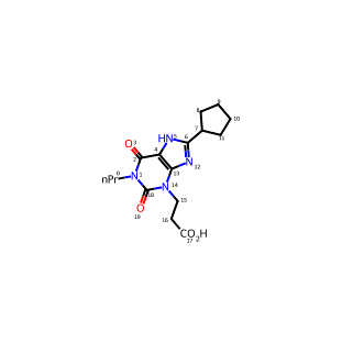 CCCn1c(=O)c2[nH]c(C3CCCC3)nc2n(CCC(=O)O)c1=O